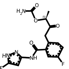 C[C@H](OC(N)=O)C(=O)Cc1ccc(F)cc1C(=O)Nc1cc(F)[nH]n1